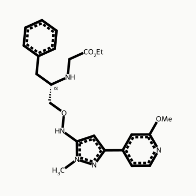 CCOC(=O)CN[C@H](CONc1cc(-c2ccnc(OC)c2)nn1C)Cc1ccccc1